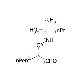 CCCCCC(C=O)ONC(C)(C)CCC